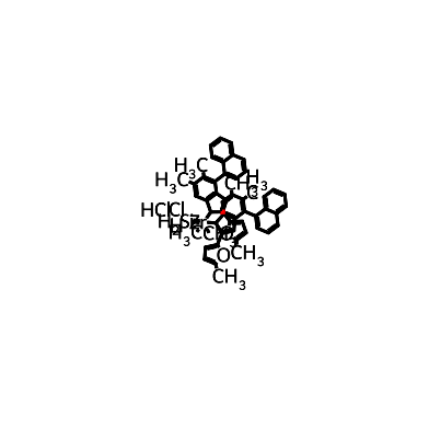 Cc1ccc(C2=Cc3c(cc(C)c(C)c3-c3cccc4ccccc34)[CH]2[Zr]([CH3])([CH3])(=[SiH2])[CH]2C(c3ccc(C)o3)=Cc3c2cc(C)c(C)c3-c2cccc3ccccc23)o1.Cl.Cl